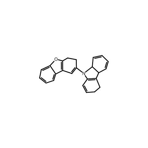 C1=CC2C3=C(C=CCC3)N(C3=Cc4c(oc5ccccc45)CC3)C2C=C1